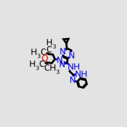 CC1(C)CC(n2nc(NCc3nc4ccccc4[nH]3)c3ncc(C4CC4)nc32)CC(C)(C)O1